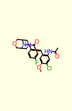 COc1cc(C=CC(=O)N2CC3COCC(C2)N3Cc2ccc(F)cc2)c(NC(C)=O)cc1Cl